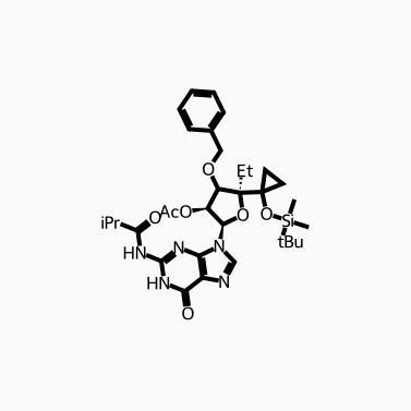 CC[C@]1(C2(O[Si](C)(C)C(C)(C)C)CC2)O[C@@H](n2cnc3c(=O)[nH]c(NC(=O)C(C)C)nc32)[C@@H](OC(C)=O)C1OCc1ccccc1